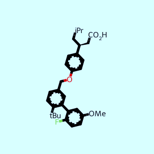 COc1ccc(F)c(-c2cc(COc3ccc([C@H](CC(=O)O)CC(C)C)cc3)ccc2C(C)(C)C)c1